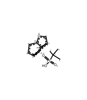 CC(C)(C)S(=O)(=O)O.c1cc2occ3c1cc23